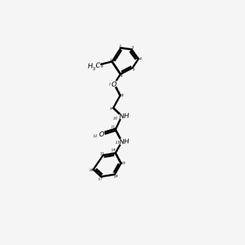 Cc1ccccc1OCCNC(=O)Nc1ccccc1